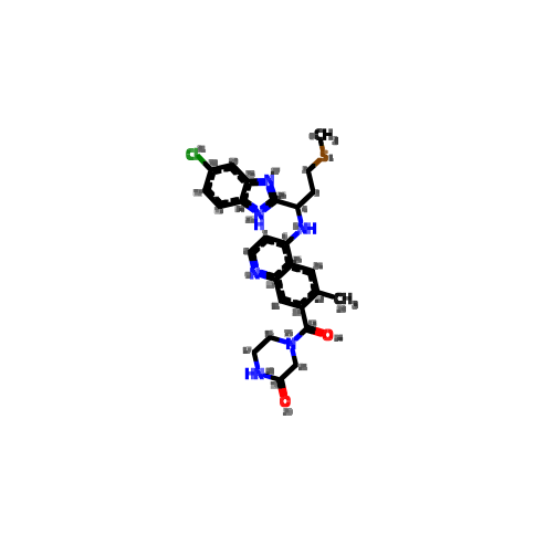 CSCCC(Nc1ccnc2cc(C(=O)N3CCNC(=O)C3)c(C)cc12)c1nc2cc(Cl)ccc2[nH]1